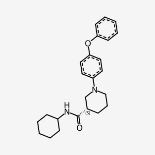 O=C(NC1CCCCC1)[C@H]1CCCN(c2ccc(Oc3ccccc3)cc2)C1